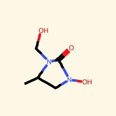 CC1CN(O)C(=O)N1CO